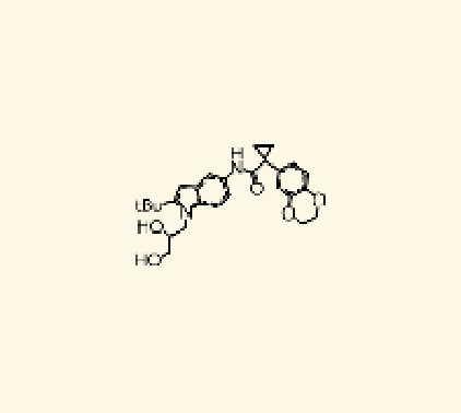 CC(C)(C)c1cc2cc(NC(=O)C3(c4ccc5c(c4)OCCO5)CC3)ccc2n1C[C@H](O)CO